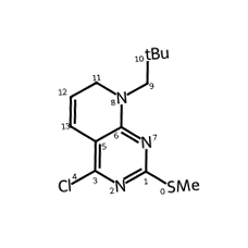 CSc1nc(Cl)c2c(n1)N(CC(C)(C)C)CC=C2